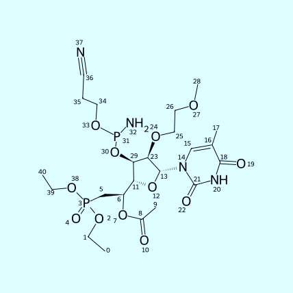 CCOP(=O)(C[C@H](OC(C)=O)[C@H]1O[C@@H](n2cc(C)c(=O)[nH]c2=O)[C@H](OCCOC)[C@@H]1OP(N)OCCC#N)OCC